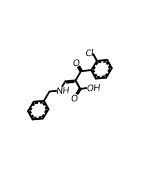 O=C(O)C(=CNCc1ccccc1)C(=O)c1ccccc1Cl